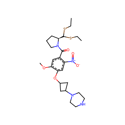 CCSC(SCC)[C@@H]1CCCN1C(=O)c1cc(OC)c(OC2CC(N3CCNCC3)C2)cc1[N+](=O)[O-]